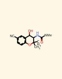 CNC(=O)NC1C(O)c2cc(C#N)ccc2OC1(C)C